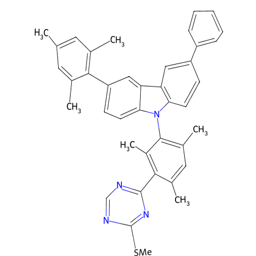 CSc1ncnc(-c2c(C)cc(C)c(-n3c4ccc(-c5ccccc5)cc4c4cc(-c5c(C)cc(C)cc5C)ccc43)c2C)n1